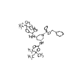 CC(C)(C)OC(=O)NC1CC(NC(=O)OC(C)(C)C)CN(C(=O)OCc2ccccc2)C1